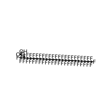 O=S(=O)(O)C(F)(F)C(F)(F)C(F)(F)C(F)(F)C(F)(F)C(F)(F)C(F)(F)C(F)(F)C(F)(F)C(F)(F)C(F)(F)C(F)(F)C(F)(F)C(F)(F)C(F)(F)C(F)(F)C(F)(F)C(F)(F)C(F)(F)C(F)(F)C(F)(F)C(F)(F)C(F)(F)F